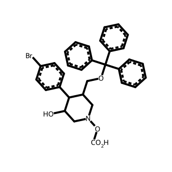 O=C(O)ON1CC(O)C(c2ccc(Br)cc2)C(COC(c2ccccc2)(c2ccccc2)c2ccccc2)C1